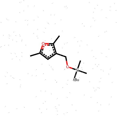 Cc1cc(CO[Si](C)(C)C(C)(C)C)c(C)o1